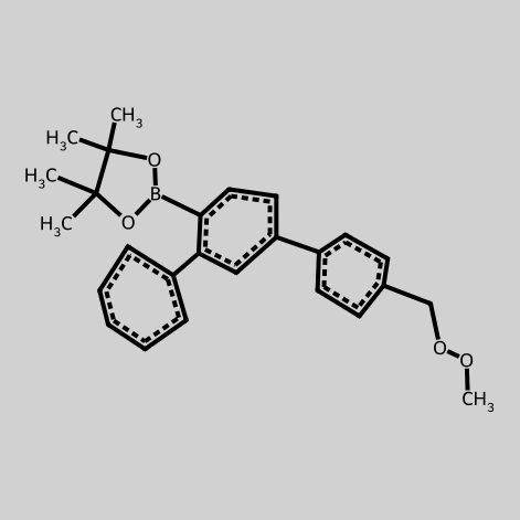 COOCc1ccc(-c2ccc(B3OC(C)(C)C(C)(C)O3)c(-c3ccccc3)c2)cc1